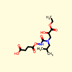 CCOC(=O)C(O)CN(CC(C)C)C(=O)NOC(=O)CCC(=O)O